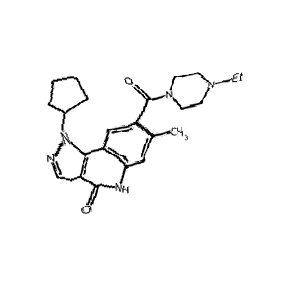 CCN1CCN(C(=O)c2cc3c(cc2C)[nH]c(=O)c2cnn(C4CCCC4)c23)CC1